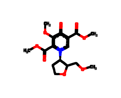 COCC1OCC[C@H]1n1cc(C(=O)OC)c(=O)c(OC)c1C(=O)OC